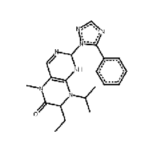 CCC1C(=O)N(C)C2=C(NC(n3ncnc3-c3ccccc3)N=C2)N1C(C)C